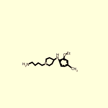 CCOc1cc(C)ccc1NC1CCN(CCCCN)CC1